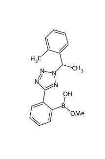 COB(O)c1ccccc1-c1nnn(C(C)c2ccccc2C)n1